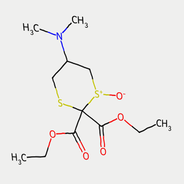 CCOC(=O)C1(C(=O)OCC)SCC(N(C)C)C[S+]1[O-]